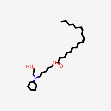 CCCCC/C=C\C/C=C\CCCCCCCC(=O)OCCCCCN(CCO)C1CCCCC1